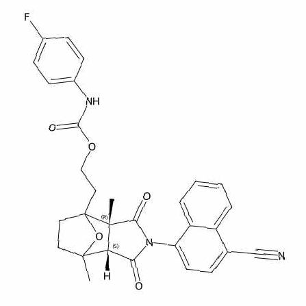 CC12CCC(CCOC(=O)Nc3ccc(F)cc3)(O1)[C@]1(C)C(=O)N(c3ccc(C#N)c4ccccc34)C(=O)[C@H]21